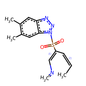 C=N/C=C(\C=C/C)S(=O)(=O)n1nnc2cc(C)c(C)cc21